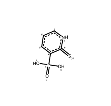 O=P(O)(O)c1ccc[nH]c1=S